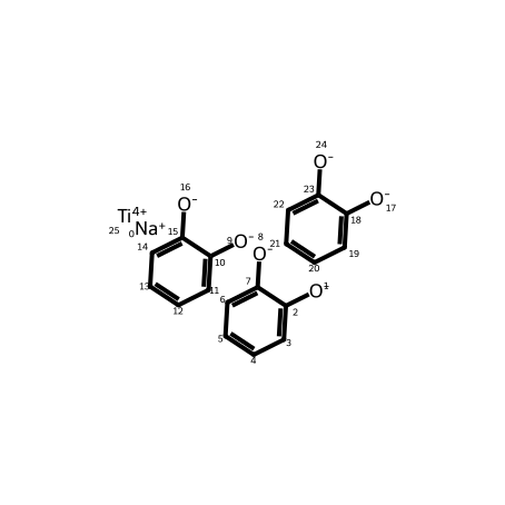 [Na+].[O-]c1ccccc1[O-].[O-]c1ccccc1[O-].[O-]c1ccccc1[O-].[Ti+4]